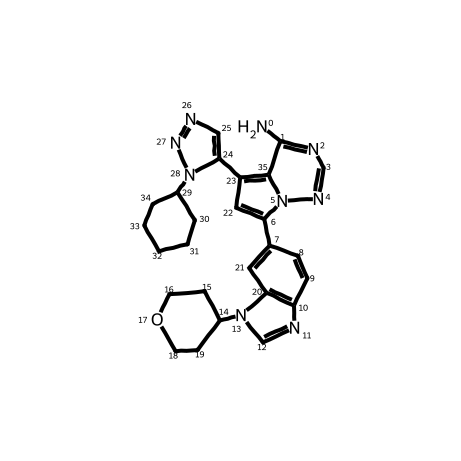 Nc1ncnn2c(-c3ccc4ncn(C5CCOCC5)c4c3)cc(-c3cnnn3C3CCCCC3)c12